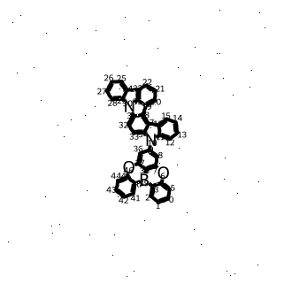 c1ccc2c(c1)Oc1cc(-n3c4ccccc4c4c5c6cccc7c8ccccc8n(c5ccc43)c76)cc3c1B2c1ccccc1O3